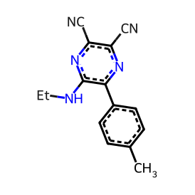 CCNc1nc(C#N)c(C#N)nc1-c1ccc(C)cc1